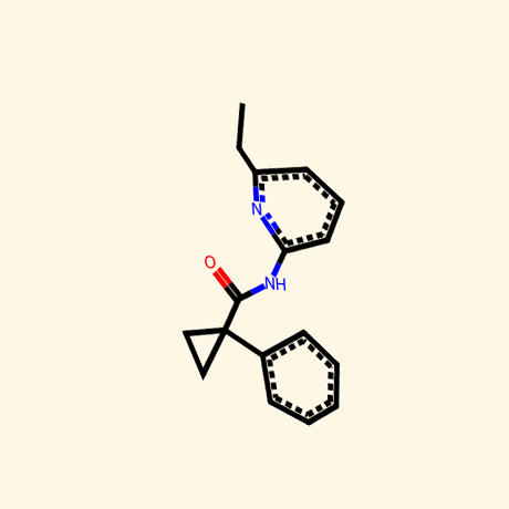 CCc1cccc(NC(=O)C2(c3ccccc3)CC2)n1